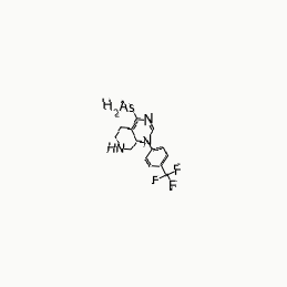 FC(F)(F)c1ccc(N2C=NC([AsH2])=C3CCNCC32)cc1